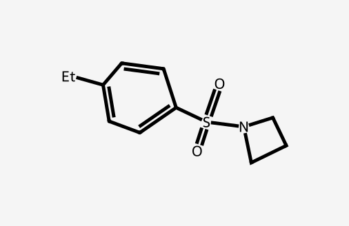 CCc1ccc(S(=O)(=O)N2CCC2)cc1